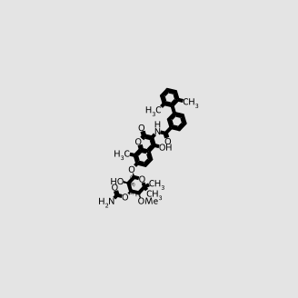 CO[C@@H]1[C@@H](OC(N)=O)[C@@H](O)[C@H](Oc2ccc3c(O)c(NC(=O)c4cccc(-c5c(C)cccc5C)c4)c(=O)oc3c2C)OC1(C)C